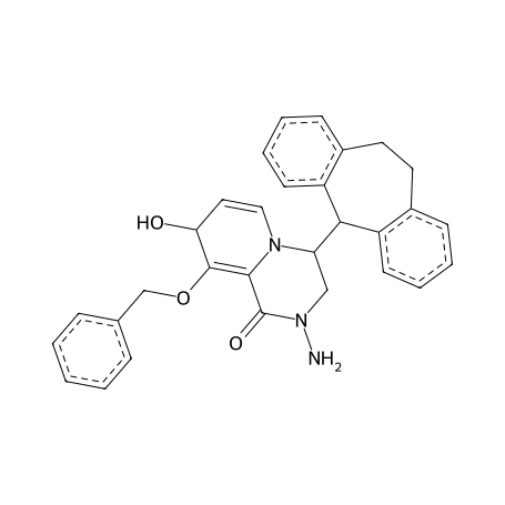 NN1CC(C2c3ccccc3CCc3ccccc32)N2C=CC(O)C(OCc3ccccc3)=C2C1=O